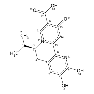 CC(C)[C@@H]1Cc2cc(O)c(O)nc2-c2cc(=O)c(C(=O)O)cn21